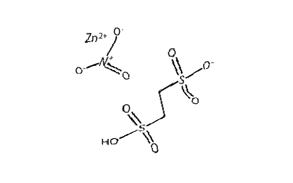 O=S(=O)([O-])CCS(=O)(=O)O.O=[N+]([O-])[O-].[Zn+2]